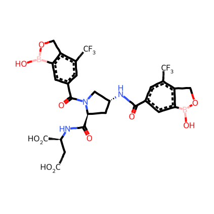 O=C(O)C[C@H](NC(=O)[C@@H]1C[C@@H](NC(=O)c2cc3c(c(C(F)(F)F)c2)COB3O)CN1C(=O)c1cc2c(c(C(F)(F)F)c1)COB2O)C(=O)O